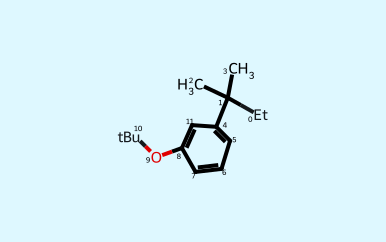 CCC(C)(C)c1cccc(OC(C)(C)C)c1